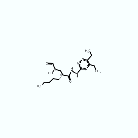 CCCCC[C@H](CN(O)C=O)C(=O)NNc1nnc(CC)c(CC)n1